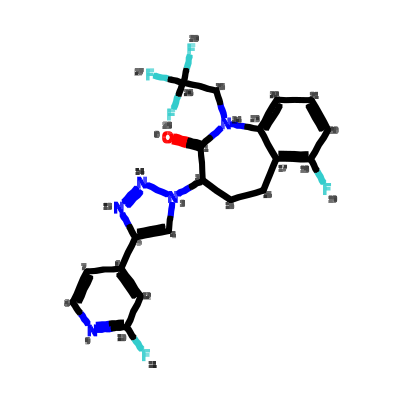 O=C1C(n2cc(-c3ccnc(F)c3)nn2)CCc2c(F)cccc2N1CC(F)(F)F